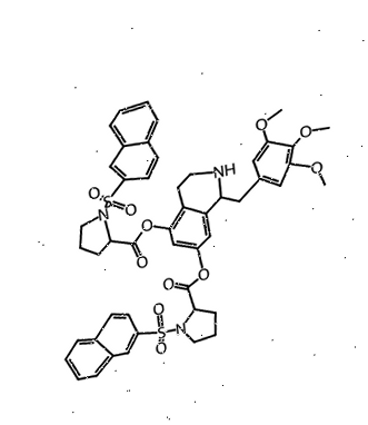 COc1cc(CC2NCCc3c(OC(=O)C4CCCN4S(=O)(=O)c4ccc5ccccc5c4)cc(OC(=O)C4CCCN4S(=O)(=O)c4ccc5ccccc5c4)cc32)cc(OC)c1OC